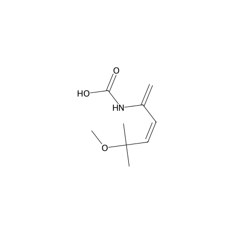 C=C(/C=C\C(C)(C)OC)NC(=O)O